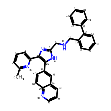 Cc1cccc(-c2nc(CNCc3ccccc3-c3ccccc3)[nH]c2-c2ccc3ncccc3c2)n1